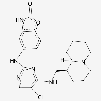 O=c1[nH]c2cc(Nc3ncc(Cl)c(NC[C@@H]4CCCN5CCCC[C@H]45)n3)ccc2o1